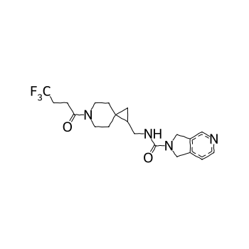 O=C(CCC(F)(F)F)N1CCC2(CC1)CC2CNC(=O)N1Cc2ccncc2C1